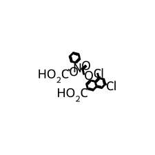 O=C(O)CON(C(=O)COc1cc(C(=O)O)cc2cc(Cl)cc(Cl)c12)c1ccccc1